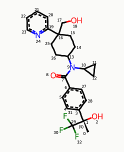 C[C@](O)(c1ccc(C(=O)N(C2CC2)C2CCC(CO)(c3ccccn3)CC2)cc1)C(F)(F)F